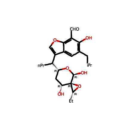 CCCC(c1coc2c(C=O)c(O)c(CC(C)C)cc12)[C@H]1C[C@@H](O)[C@]2(O[C@@H]2CC)[C@H](O)O1